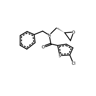 O=C(c1ccc(Cl)s1)N(Cc1ccccc1)C[C@H]1CO1